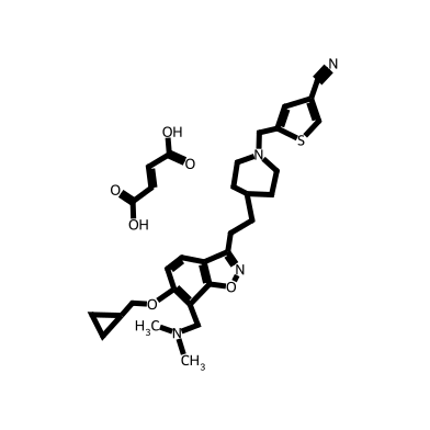 CN(C)Cc1c(OCC2CC2)ccc2c(CCC3CCN(Cc4cc(C#N)cs4)CC3)noc12.O=C(O)C=CC(=O)O